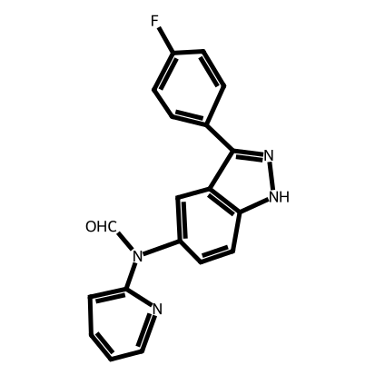 O=CN(c1ccc2[nH]nc(-c3ccc(F)cc3)c2c1)c1ccccn1